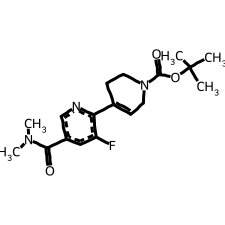 CN(C)C(=O)c1cnc(C2=CCN(C(=O)OC(C)(C)C)CC2)c(F)c1